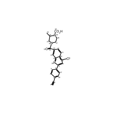 C#Cc1ccc(-c2cc(Cl)c3ccc(C(=O)N4CCN(C(=O)O)C(C)C4)cc3n2)cc1